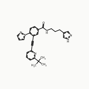 CC(C)(C)c1cccc(C#Cc2cc(C(=O)NCCCc3cn[nH]c3)ccc2-n2cccn2)n1